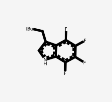 CC(C)(C)Cc1c[nH]c2c(F)c(F)c(F)c(F)c12